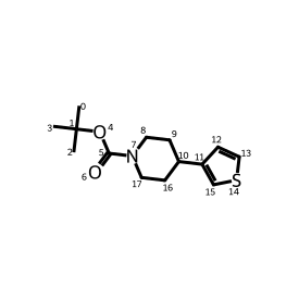 CC(C)(C)OC(=O)N1CCC(c2ccsc2)CC1